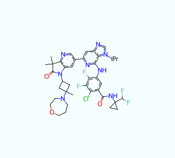 CC(C)n1cnc2cc(-c3cnc4c(c3)N(C3CC(C)(N5CCCOCC5)C3)C(=O)C4(C)C)nc(Nc3cc(C(=O)NC4(C(F)F)CC4)c(Cl)c(F)c3F)c21